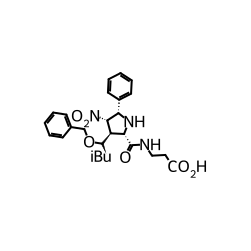 CC[C@H](C)C(OCc1ccccc1)[C@H]1[C@H]([N+](=O)[O-])[C@H](c2ccccc2)N[C@@H]1C(=O)NCCC(=O)O